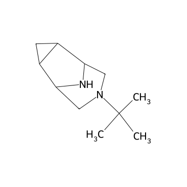 CC(C)(C)N1CC2NC(C1)C1CC21